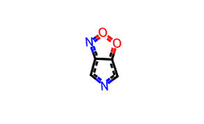 c1ncc2oonc1-2